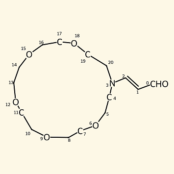 O=CC=CN1CCOCCOCCOCCOCCOCC1